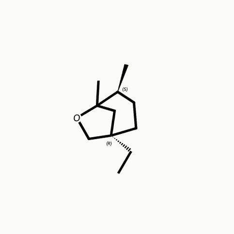 CC[C@@]12CC[C@H](C)C(C)(C1)OC2